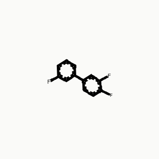 Fc1cccc(-c2ccc(F)c(F)c2)c1